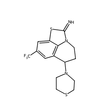 N=c1sc2cc(C(F)(F)F)cc3c2n1CCC3N1CCSCC1